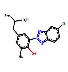 CCCCCCC(Cc1cc(-n2nc3ccc(Cl)cc3n2)c(O)c(C(C)(C)C)c1)C(=O)OCC